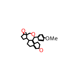 COc1ccc(C2OCC3(C)C(=O)CCC3C3CCC4=CC(=O)CCC4=C23)cc1